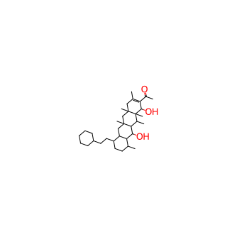 CC(=O)C1=C(C)CC2(C)CC3(C)CC4C(CCC5CCCCC5)CCC(C)C4C(O)C3C(C)C2(C)C1O